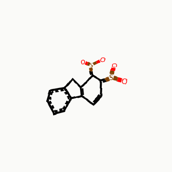 O=S(=O)=C1C=CC2=C(Cc3ccccc32)C1=S(=O)=O